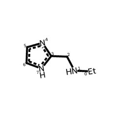 CCNCc1ncc[nH]1